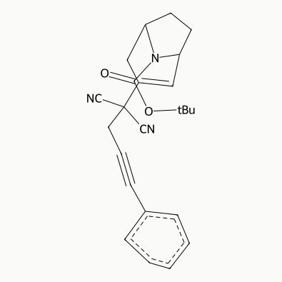 CC(C)(C)OC(=O)N1C2C=C(C(C#N)(C#N)CC#Cc3ccccc3)CC1CC2